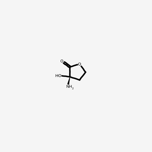 N[C@]1(O)CCOC1=O